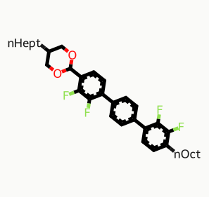 CCCCCCCCc1ccc(-c2ccc(-c3ccc(C4OCC(CCCCCCC)CO4)c(F)c3F)cc2)c(F)c1F